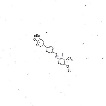 CCCCOC1CCC(c2ccc(/C=C/c3ccc(OCC)c(C(F)(F)F)c3F)cc2)CO1